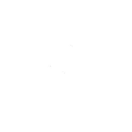 [Br-].c1ccc(C[n+]2ccc(N3CCCCC3)cc2)cc1